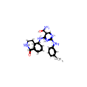 NC(=O)c1cnc(Nc2cccc(C(F)(F)F)c2)nc1Nc1cccc2c1CCNC2=O